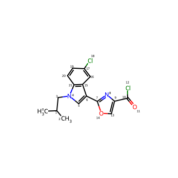 CC(C)Cn1cc(-c2nc(C(=O)Cl)co2)c2cc(Cl)ccc21